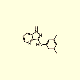 Cc1cc(C)cc(Nc2n[nH]c3cccnc23)c1